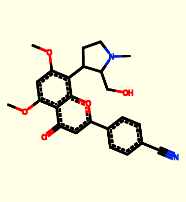 COc1cc(OC)c2c(=O)cc(-c3ccc(C#N)cc3)oc2c1C1CCN(C)C1CO